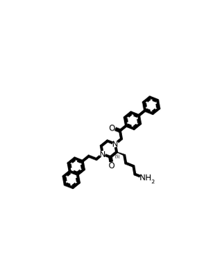 NCCCC[C@H]1C(=O)N(CCc2ccc3ccccc3c2)CCN1CC(=O)c1ccc(-c2ccccc2)cc1